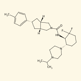 Cc1ccc([C@@H]2C[C@@H]3CN(C(=O)N[C@@H]4[C@@H](N5CCN(C(C)C)CC5)CCCC4(F)F)C[C@@H]3C2)cc1